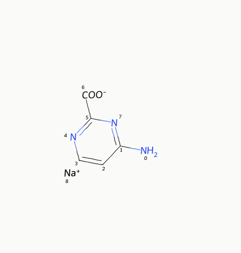 Nc1ccnc(C(=O)[O-])n1.[Na+]